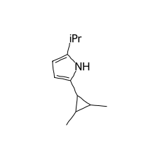 CC(C)c1ccc(C2C(C)C2C)[nH]1